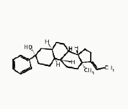 CC=C1CC[C@H]2[C@@H]3CC[C@@H]4C[C@](O)(c5ccccc5)CC[C@@H]4[C@H]3CC[C@]12C